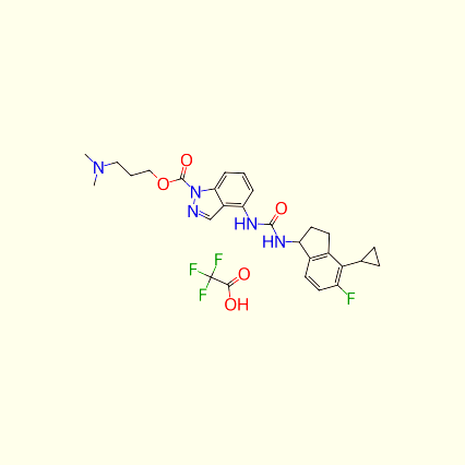 CN(C)CCCOC(=O)n1ncc2c(NC(=O)NC3CCc4c3ccc(F)c4C3CC3)cccc21.O=C(O)C(F)(F)F